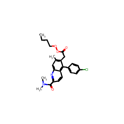 CCCCOOC(=O)Cc1c(C)cc2nc(C(=O)N(C)C)ccc2c1-c1ccc(Cl)cc1